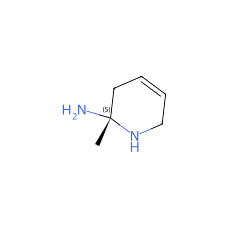 C[C@@]1(N)CC=CCN1